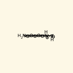 C[SH](C)(=O)CCCC(=O)NCCOCCOCCOCCOCCOCCN